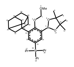 COCOc1c(B2OC(C)(C)C(C)(C)O2)cc([Si](C(C)C)(C(C)C)C(C)C)cc1C12CC3CC(CC(C3)C1)C2